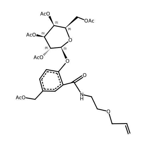 C=CCOCCNC(=O)c1cc(COC(C)=O)ccc1O[C@@H]1O[C@H](COC(C)=O)[C@H](OC(C)=O)[C@H](OC(C)=O)[C@H]1OC(C)=O